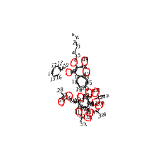 CCC=CCCOc1c(OCc2ccccc2)c2ccc(O[C@@H]3O[C@H](COC(C)=O)[C@H](OC(C)=O)[C@H](OC(C)=O)[C@H]3OC(C)=O)cc2oc1=O